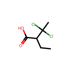 CCC(C(=O)O)C(C)(Cl)Cl